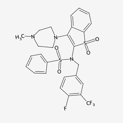 CN1CCN(C2=C(N(Cc3ccc(F)c(C(F)(F)F)c3)S(=O)(=O)c3ccccc3)S(=O)(=O)c3ccccc32)CC1